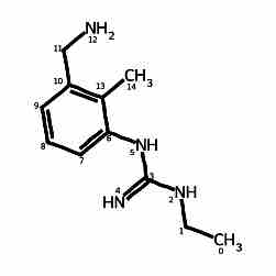 CCNC(=N)Nc1cccc(CN)c1C